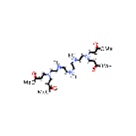 CCN(CCN(CC)CCN(CCC(=O)OC)CCC(=O)OC)CCN(CC)CCN(CCC(=O)OC)CCC(=O)OC